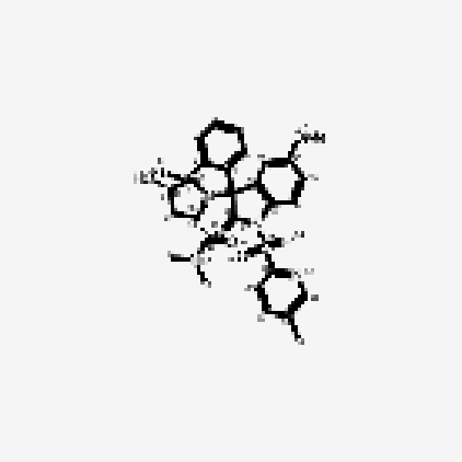 CCOc1ccccc1C1(N2C[C@H](O)C[C@H]2C(=O)N(C)C)C(=O)N(S(=O)(=O)c2ccc(C)cn2)c2ccc(OC)cc21